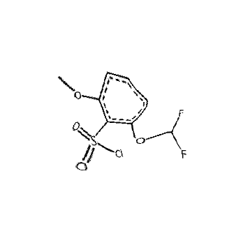 COc1cccc(OC(F)F)c1S(=O)(=O)Cl